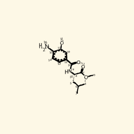 COC(=O)[C@H](CC(C)C)NC(=O)c1ccc(N)c(Cl)c1